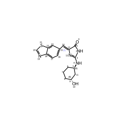 O=C1NC(N[C@@H]2CCC[C@@H](O)C2)=N/C1=C\c1ccc2ncsc2c1